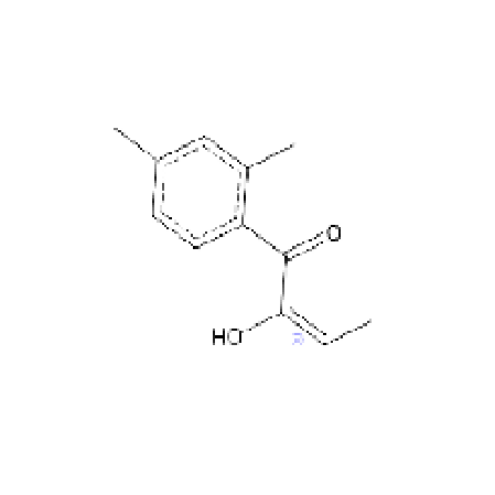 C/C=C(/O)C(=O)c1ccc(C)cc1C